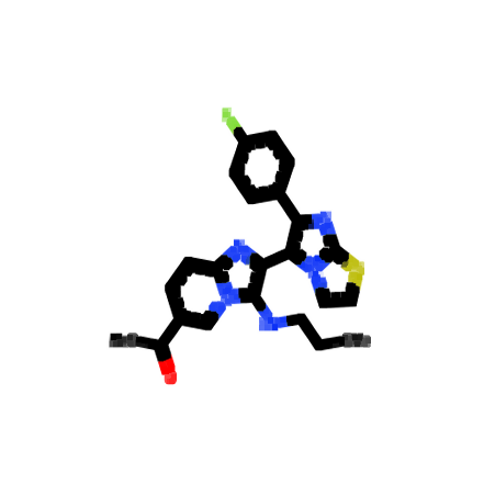 COCCNc1c(-c2c(-c3ccc(F)cc3)nc3sccn23)nc2ccc(C(=O)OC)cn12